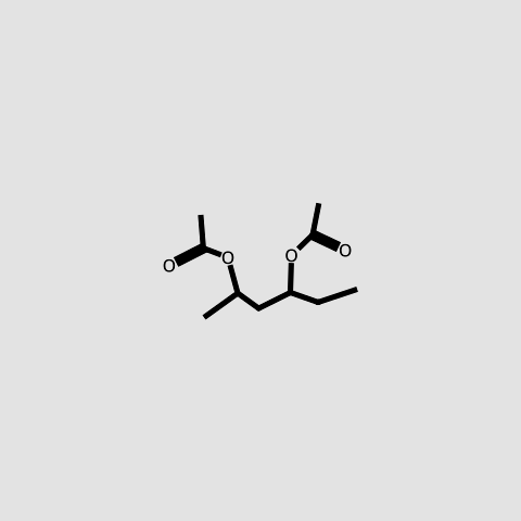 CCC(CC(C)OC(C)=O)OC(C)=O